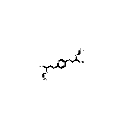 C=COC(CCCC)COc1ccc(OCC(CCCC)OC=C)nc1